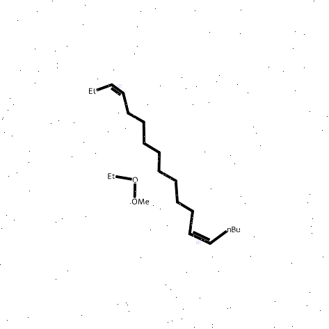 CC/C=C\CCCCCCCC/C=C\CCCC.CCOOC